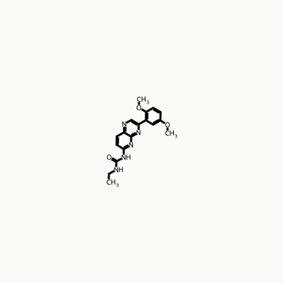 CCNC(=O)Nc1ccc2ncc(-c3cc(OC)ccc3OC)nc2n1